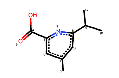 Cc1cc(C(=O)O)nc(C(C)C)c1